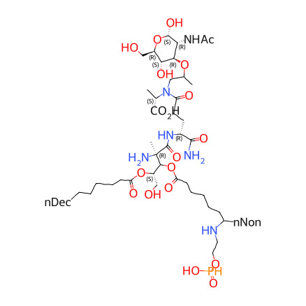 CCCCCCCCCCCCCCCC(=O)O[C@@H](CO)C(OC(=O)CCCCCC(CCCCCCCCC)NCCO[PH](=O)O)[C@@](C)(N)C(=O)N[C@H](CCC(=O)N(CC(C)O[C@H]1[C@H](O)[C@@H](CO)O[C@H](O)[C@@H]1NC(C)=O)[C@@H](C)C(=O)O)C(N)=O